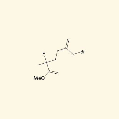 C=C(CBr)CCC(C)(F)C(=C)OC